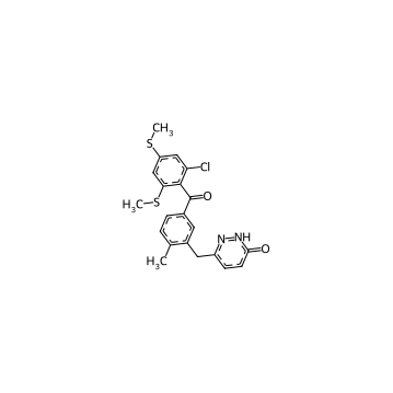 CSc1cc(Cl)c(C(=O)c2ccc(C)c(Cc3ccc(=O)[nH]n3)c2)c(SC)c1